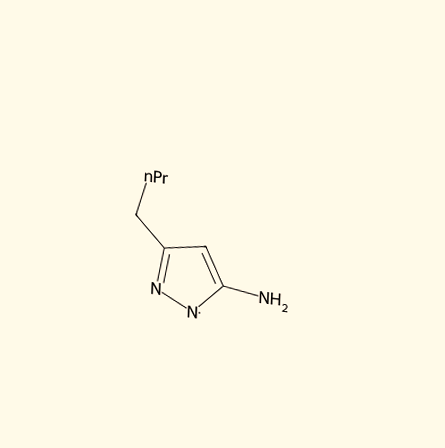 CCCCC1=N[N]C(N)=C1